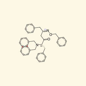 O=C(C/C(Cc1ccccc1)=N\OCc1ccccc1)[C@H](Cc1ccccc1)N(Cc1ccccc1)Cc1ccccc1